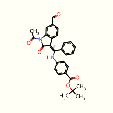 CC(=O)N1C(=O)/C(=C(\Nc2ccc(C(=O)OC(C)(C)C)cc2)c2ccccc2)c2ccc(C=O)cc21